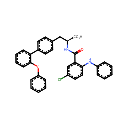 O=C(N[C@@H](Cc1ccc(-c2ccccc2Oc2ccccc2)cc1)C(=O)O)c1cc(Cl)ccc1Nc1ccccc1